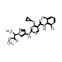 COC(=O)C(C)n1cc(Nc2ncc(C(=O)Nc3c(Cl)cccc3Cl)c(OC3CC3)n2)cn1